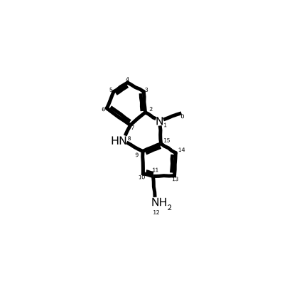 CN1c2ccccc2Nc2cc(N)ccc21